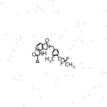 Cc1cc(CN2Cc3c(ccnc3NC(=O)C3CC3)C2=O)ccc1OCC(C)(F)F